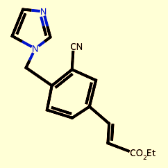 CCOC(=O)C=Cc1ccc(Cn2ccnc2)c(C#N)c1